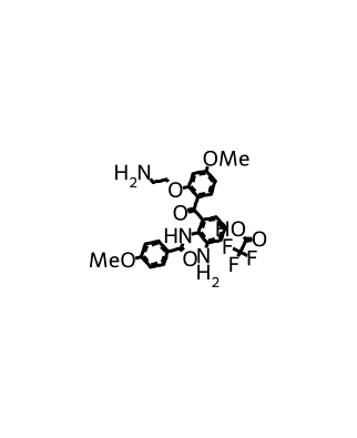 COc1ccc(C(=O)Nc2c(N)cccc2C(=O)c2ccc(OC)cc2OCCN)cc1.O=C(O)C(F)(F)F